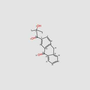 CC(C)(O)C(=O)c1ccc2c(c1)C(=O)c1ccccc1C2